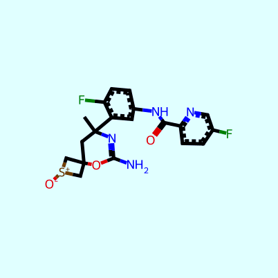 CC1(c2cc(NC(=O)c3ccc(F)cn3)ccc2F)CC2(C[S+]([O-])C2)OC(N)=N1